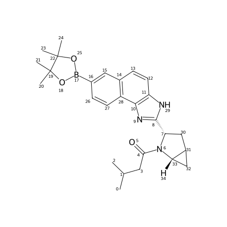 CC(C)CC(=O)N1[C@H](c2nc3c(ccc4cc(B5OC(C)(C)C(C)(C)O5)ccc43)[nH]2)CC2C[C@@H]21